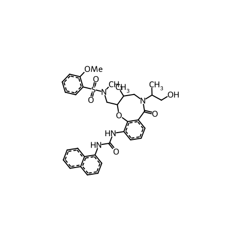 COc1ccccc1S(=O)(=O)N(C)CC1Oc2c(NC(=O)Nc3cccc4ccccc34)cccc2C(=O)N(C(C)CO)CC1C